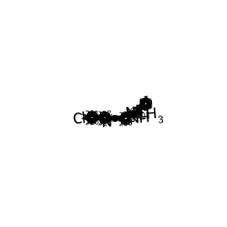 CN(Cc1ccccc1)c1nc2cc(C#Cc3ccc(-c4ccc(Cl)cc4)cn3)ccc2[nH]1